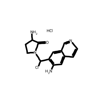 Cl.Nc1cc2ccncc2cc1C(Cl)N1CCC(N)C1=O